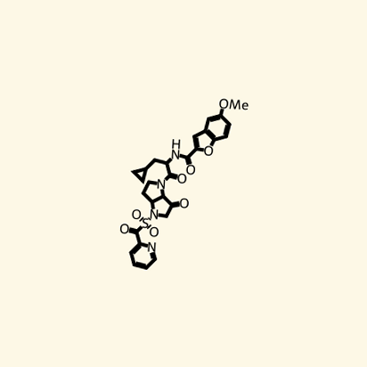 COc1ccc2oc(C(=O)NC(CC3CC3)C(=O)N3CCC4C3C(=O)CN4S(=O)(=O)C(=O)c3ccccn3)cc2c1